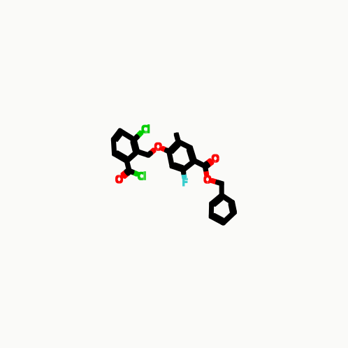 Cc1cc(C(=O)OCc2ccccc2)c(F)cc1OCc1c(Cl)cccc1C(=O)Cl